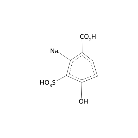 O=C(O)c1ccc(O)c(S(=O)(=O)O)[c]1[Na]